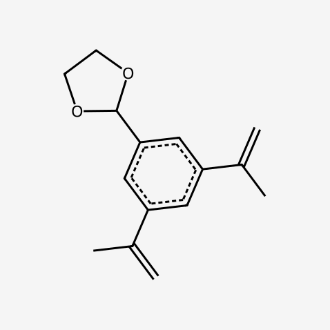 C=C(C)c1cc(C(=C)C)cc(C2OCCO2)c1